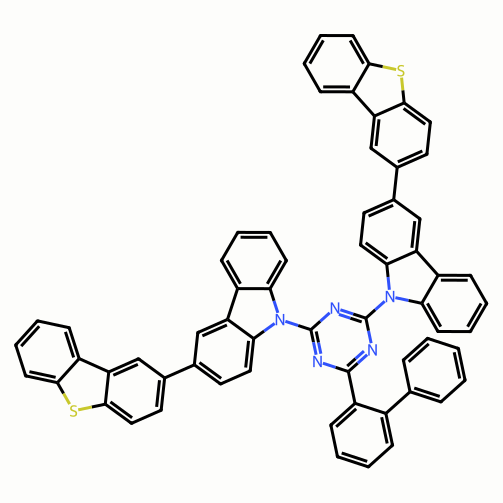 c1ccc(-c2ccccc2-c2nc(-n3c4ccccc4c4cc(-c5ccc6sc7ccccc7c6c5)ccc43)nc(-n3c4ccccc4c4cc(-c5ccc6sc7ccccc7c6c5)ccc43)n2)cc1